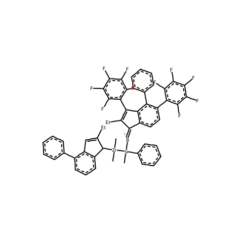 CCC1=Cc2c(-c3ccccc3)cccc2[CH]1[Zr]([CH3])([CH3])[Si](C)(/B=C1/C(CC)=C(c2c(F)c(F)c(F)c(F)c2F)c2c1ccc(-c1c(F)c(F)c(F)c(F)c1F)c2-c1ccccc1)c1ccccc1